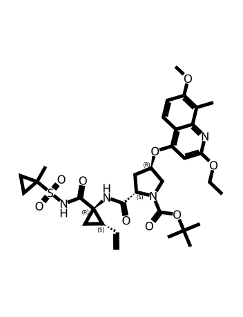 C=C[C@@H]1C[C@]1(NC(=O)[C@@H]1C[C@@H](Oc2cc(OCC)nc3c(C)c(OC)ccc23)CN1C(=O)OC(C)(C)C)C(=O)NS(=O)(=O)C1(C)CC1